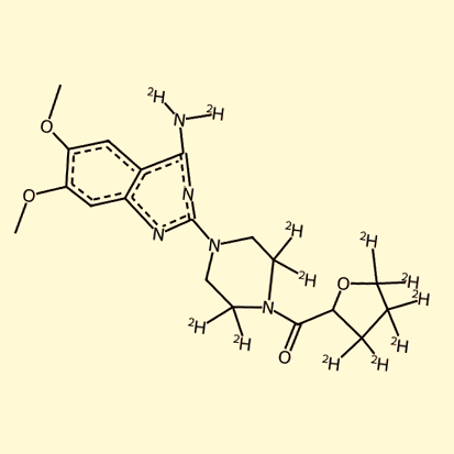 [2H]N([2H])c1nc(N2CC([2H])([2H])N(C(=O)C3OC([2H])([2H])C([2H])([2H])C3([2H])[2H])C([2H])([2H])C2)nc2cc(OC)c(OC)cc12